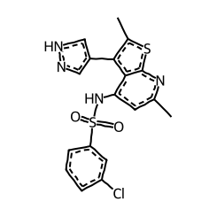 Cc1cc(NS(=O)(=O)c2cccc(Cl)c2)c2c(-c3cn[nH]c3)c(C)sc2n1